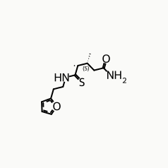 C[C@@H]([CH]C(=S)NCCc1ccco1)CC(N)=O